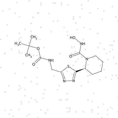 CC(C)(C)OC(=O)NCc1nnc([C@@H]2CCCCN2C(=O)NO)s1